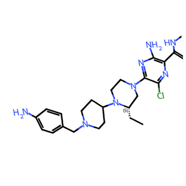 C=C(NC)c1nc(Cl)c(N2CCN(C3CCN(Cc4ccc(N)cc4)CC3)[C@@H](CC)C2)nc1N